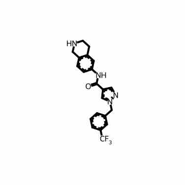 O=C(Nc1ccc2c(c1)CCNC2)c1cnn(Cc2cccc(C(F)(F)F)c2)c1